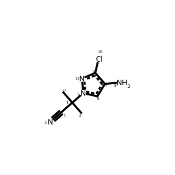 CC(C)(C#N)n1cc(N)c(Cl)n1